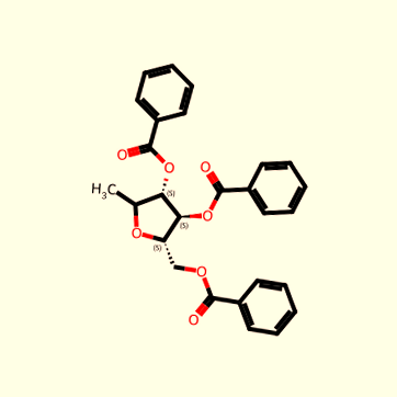 CC1O[C@@H](COC(=O)c2ccccc2)[C@H](OC(=O)c2ccccc2)[C@H]1OC(=O)c1ccccc1